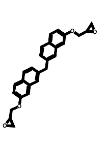 c1cc2ccc(OCC3CO3)cc2cc1Cc1ccc2ccc(OCC3CO3)cc2c1